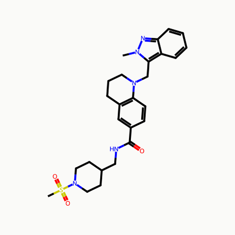 Cn1nc2ccccc2c1CN1CCCc2cc(C(=O)NCC3CCN(S(C)(=O)=O)CC3)ccc21